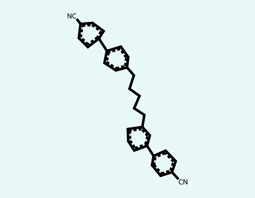 N#Cc1ccc(-c2ccc(CCCCCc3cccc(-c4ccc(C#N)cc4)c3)cc2)cc1